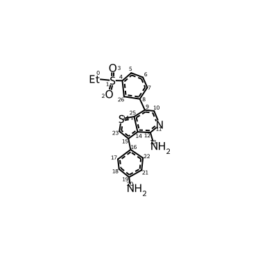 CCS(=O)(=O)c1cccc(-c2cnc(N)c3c(-c4ccc(N)cc4)csc23)c1